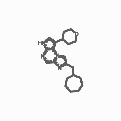 c1[nH]c2ncc3nc(CC4CCCCCC4)cn3c2c1C1CCOCC1